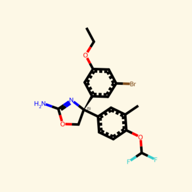 CCOc1cc(Br)cc([C@@]2(c3ccc(OC(F)F)c(C)c3)COC(N)=N2)c1